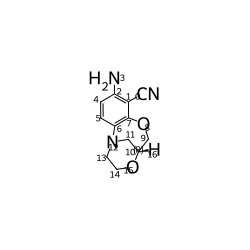 N#Cc1c(N)ccc2c1OC[C@H]1CN2CCO1